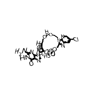 Nc1nc2c(ncn2[C@@H]2O[C@@H]3COPOCCn4c(nc5cc(Cl)cnc54)COP(=O)(S)O[C@@H]2[C@@H]3F)c(=O)[nH]1